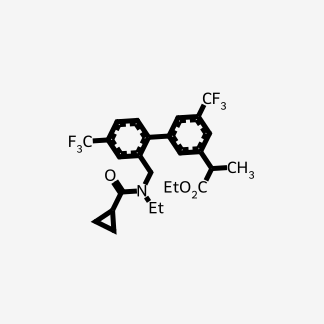 CCOC(=O)C(C)c1cc(-c2ccc(C(F)(F)F)cc2CN(CC)C(=O)C2CC2)cc(C(F)(F)F)c1